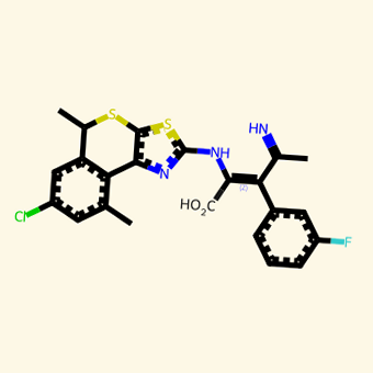 CC(=N)/C(=C(\Nc1nc2c(s1)SC(C)c1cc(Cl)cc(C)c1-2)C(=O)O)c1cccc(F)c1